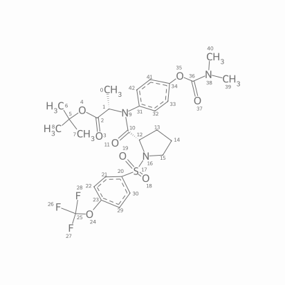 C[C@@H](C(=O)OC(C)(C)C)N(C(=O)[C@@H]1CCCN1S(=O)(=O)c1ccc(OC(F)(F)F)cc1)c1ccc(OC(=O)N(C)C)cc1